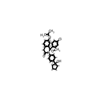 CO[C@@]1(c2ccc(Cl)cc2)c2cc(OC(C)C)ccc2CC(=O)N1c1ccc(C2(O)CCCC2)cc1